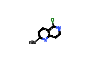 CCCCc1ccc2c(Cl)nccc2n1